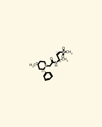 C[C@@H]1CCN(CC(=O)N[C@@H](C)/C=C\S(C)(=O)=O)[C@H](c2ccccc2)C1